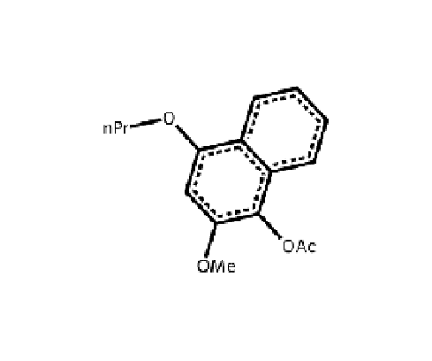 CCCOc1cc(OC)c(OC(C)=O)c2ccccc12